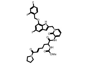 COC(=O)NC(CCC=CC(=O)N1CCCC1)C(=O)Nc1cccn(Cc2cc3cc(F)cc(OCc4ccc(F)cc4F)c3[nH]2)c1=O